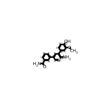 COc1cc(-c2cc(-c3cccc(C(N)=O)c3)cnc2N)ccc1O